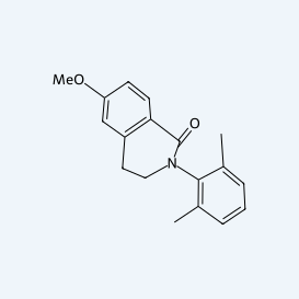 COc1ccc2c(c1)CCN(c1c(C)cccc1C)C2=O